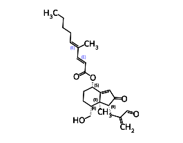 C=C(C=O)C[C@H]1C(=O)C=C2[C@@H](OC(=O)/C=C/C(C)=C/CCCC)CC[C@@H](CO)[C@@]21C